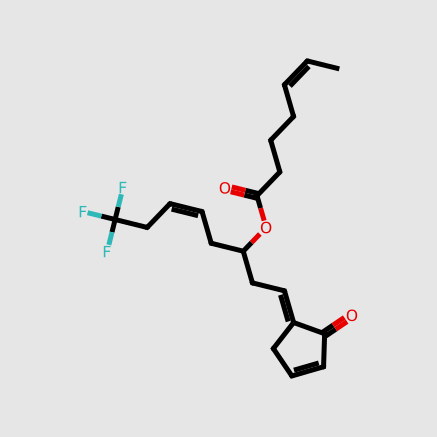 C/C=C\CCCC(=O)OC(C/C=C\CC(F)(F)F)C/C=C1\CC=CC1=O